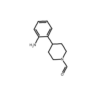 Nc1ccccc1C1CCN(C=O)CC1